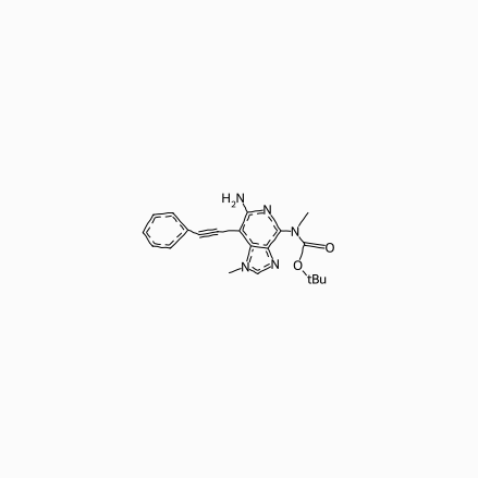 CN(C(=O)OC(C)(C)C)c1nc(N)c(C#Cc2ccccc2)c2c1ncn2C